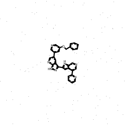 c1ccc(COc2cncc(-c3cnc4[nH]nc(-c5cc6c(-c7ccccn7)cncc6[nH]5)c4c3)c2)cc1